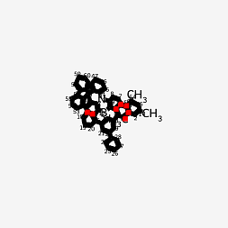 Cc1cc(C)c(-c2ccc3c(c2)B(c2c(-c4ccccc4)cc(-c4ccccc4)cc2-c2ccccc2)c2cccc4c2N3c2ccccc2C42c3ccccc3-c3ccccc32)c(C)c1